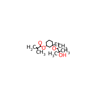 C=C(C)C(=O)OC1CCCC(CC)(OC(C)C(C)(C)O)C1